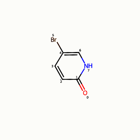 O=c1[c]cc(Br)c[nH]1